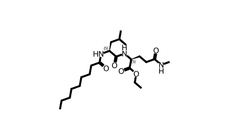 CCCCCCCCC(=O)N[C@@H](CC(C)C)C(=O)N[C@@H](CCC(=O)NC)C(=O)OCC